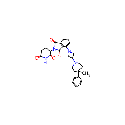 CC1(c2ccccc2)CCN(C2CN(c3cccc4c3C(=O)N(C3CCC(=O)NC3=O)C4=O)C2)CC1